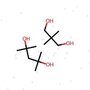 CC(C)(CO)CO.CC(C)(O)CC(C)(C)O